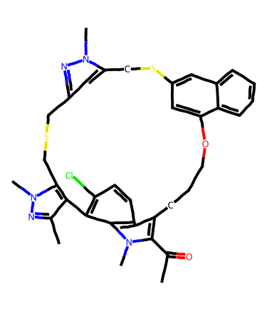 CC(=O)c1c2c3ccc(Cl)c(c3n1C)-c1c(C)nn(C)c1CSCc1cc(n(C)n1)CSc1cc(c3ccccc3c1)OCCC2